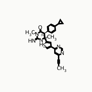 CC#Cc1cc(-c2csc([C@@]3(C)NC(=N)N(C)C(=O)[C@H]3c3ccc(C4CC4)cc3)c2)ncn1